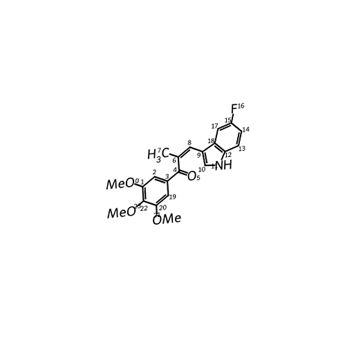 COc1cc(C(=O)C(C)=Cc2c[nH]c3ccc(F)cc23)cc(OC)c1OC